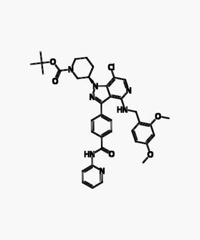 COc1ccc(CNc2ncc(Cl)c3c2c(-c2ccc(C(=O)Nc4ccccn4)cc2)nn3[C@@H]2CCCN(C(=O)OC(C)(C)C)C2)c(OC)c1